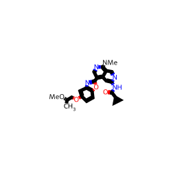 CNc1ncc(-c2nc3cc(OCC(C)OC)ccc3o2)c2cc(NC(=O)C3CC3)ncc12